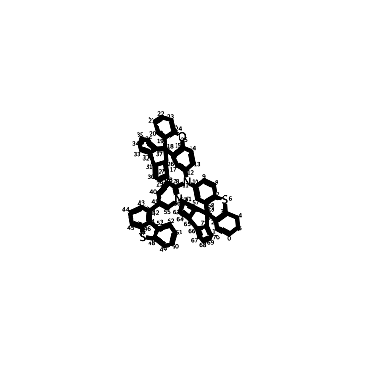 C1=CC2=C(CC1)Sc1ccc(N(c3ccc4c(c3)C3(c5ccccc5O4)c4ccccc4-c4ccccc43)c3ccc(-c4cccc5sc6ccccc6c45)cn3)cc1C21c2ccccc2-c2ccccc21